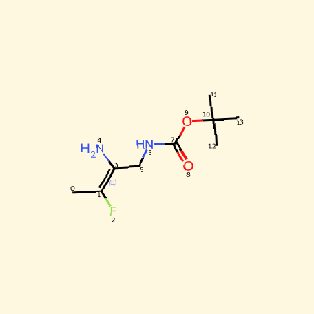 C/C(F)=C(\N)CNC(=O)OC(C)(C)C